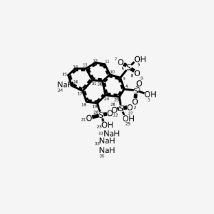 O=S(=O)(O)c1c(S(=O)(=O)O)c2ccc3cccc4cc(S(=O)(=O)O)c(c1S(=O)(=O)O)c2c34.[NaH].[NaH].[NaH].[NaH]